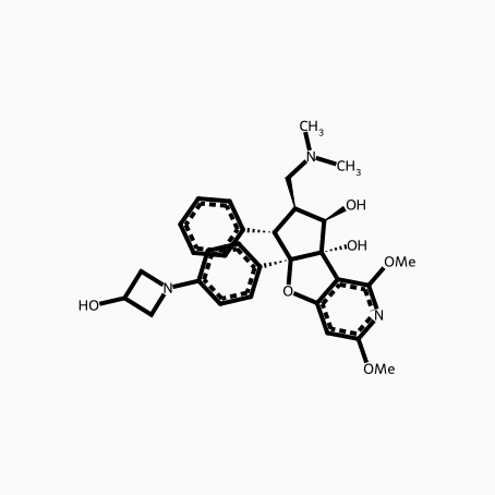 COc1cc2c(c(OC)n1)[C@]1(O)[C@H](O)[C@H](CN(C)C)[C@@H](c3ccccc3)[C@]1(c1ccc(N3CC(O)C3)cc1)O2